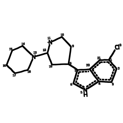 Clc1ccc2[nH]cc(C3CC[N]C(N4CCCCC4)C3)c2c1